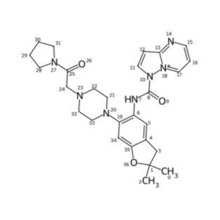 CC1(C)Cc2cc(NC(=O)n3ccc4nccc[n+]43)c(N3CCN(CC(=O)N4CCCC4)CC3)cc2O1